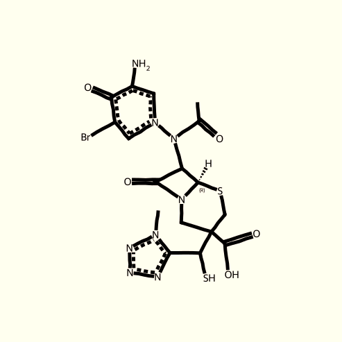 CC(=O)N(C1C(=O)N2CC(C(=O)O)(C(S)c3nnnn3C)CS[C@H]12)n1cc(N)c(=O)c(Br)c1